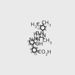 CC1=NN(c2ccc(C)c(C)c2)C(=O)/C1=N\Nc1nccc(-c2cccc(C(=O)O)c2)c1O